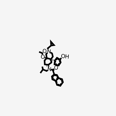 CC(=O)O[C@]12CC[C@H](N(CC(C)C)C(=O)c3ccc4ccccc4c3)C[C@]1(c1cccc(O)c1)CCN(CC1CC1)C2